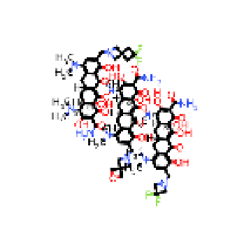 CN(C)c1cc(CN2CC3(C2)CC(F)(F)C3)c(O)c2c1C[C@H]1C[C@H]3[C@H](N(C)C)C(O)=C(C(N)=O)C(=O)[C@@]3(O)C(ON(C)[C@@H]3C(O)=C(C(N)=O)C(=O)[C@@]4(O)C(ON(C)[C@@H]5C(O)=C(C(N)=O)C(=O)[C@@]6(O)C(O)=C7C(=O)c8c(O)c(CN9CC(F)(F)C9)cc(N(C)C)c8C[C@H]7C[C@@H]56)=C5C(=O)c6c(O)c(CN7CC8(COC8)C7)cc(N(C)C)c6C[C@H]5C[C@@H]34)=C1C2=O